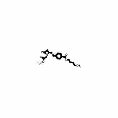 CCCCCOC(=O)c1ccc(CSC2CC(=O)N2CC(=O)OC)cc1